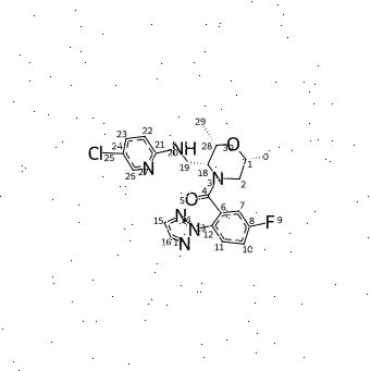 C[C@@H]1CN(C(=O)c2cc(F)ccc2-n2nccn2)[C@H](CNc2ccc(Cl)cn2)[C@H](C)O1